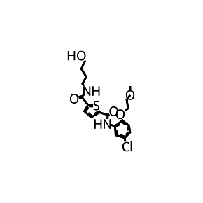 COCCOc1ccc(Cl)cc1NC(=O)c1ccc(C(=O)NCCCCO)s1